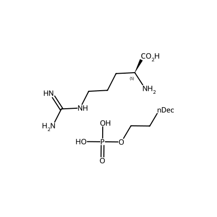 CCCCCCCCCCCCOP(=O)(O)O.N=C(N)NCCC[C@H](N)C(=O)O